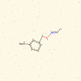 C/C=N/OCc1cccc(OC)c1